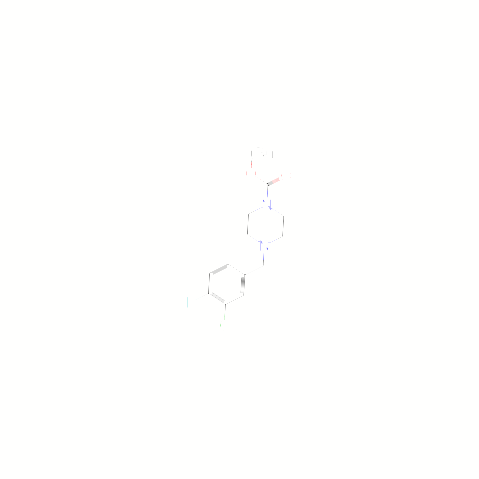 CC(C)(C)OC(=O)N1CCN(Cc2ccc(F)c(Cl)c2)CC1